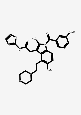 COc1cccc(C(=O)n2c(C)c(CC(=O)Nc3nccs3)c3c(CCN4CCOCC4)c(OC)ccc32)c1